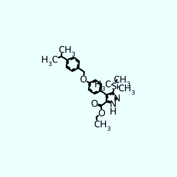 CCOC(=O)c1[nH]nc([Si](C)(C)C)c1-c1ccc(OCc2ccc(C(C)C)cc2)cc1